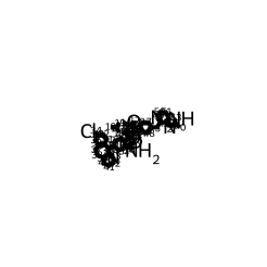 Cc1nc2c(Cc3ccc(S(=O)(=O)N(C)[C@@H](CC(C)C)C(=O)[N+]4(C(N)=O)CCC(=C5c6ccc(Cl)cc6CCc6cccnc65)CC4)cc3)nccc2[nH]1